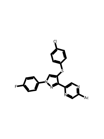 CC(=O)c1cnc(-c2nn(-c3ccc(F)cc3)cc2Sc2ccc(Cl)cc2)cn1